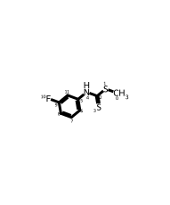 CSC(=S)Nc1cccc(F)c1